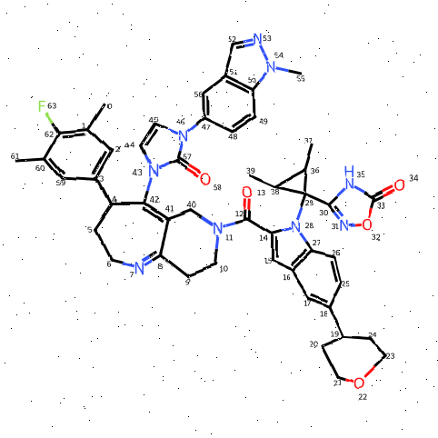 Cc1cc(C2CCN=C3CCN(C(=O)c4cc5cc(C6CCOCC6)ccc5n4C4(c5noc(=O)[nH]5)C(C)C4C)CC3=C2n2ccn(-c3ccc4c(cnn4C)c3)c2=O)cc(C)c1F